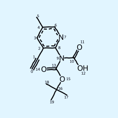 C#Cc1cc(C)cnc1N(C(=O)O)C(=O)OC(C)(C)C